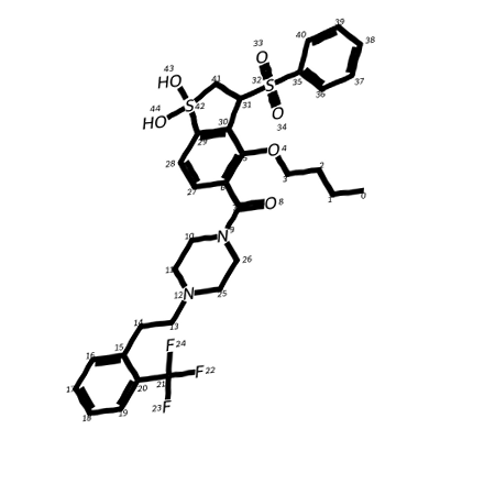 CCCCOc1c(C(=O)N2CCN(CCc3ccccc3C(F)(F)F)CC2)ccc2c1C(S(=O)(=O)c1ccccc1)CS2(O)O